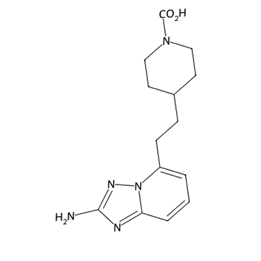 Nc1nc2cccc(CCC3CCN(C(=O)O)CC3)n2n1